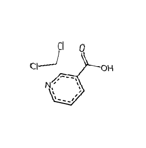 ClCCl.O=C(O)c1cccnc1